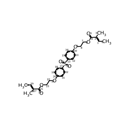 CC=C(C)C(=O)OCCOc1ccc(S(=O)(=O)c2ccc(OCCOC(=O)C(C)=CC)cc2)cc1